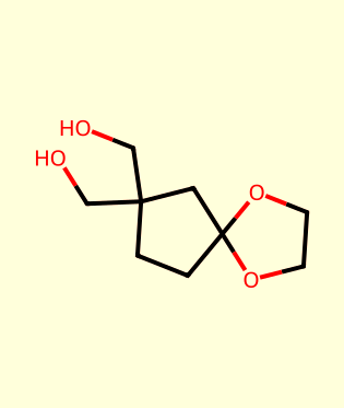 OCC1(CO)CCC2(C1)OCCO2